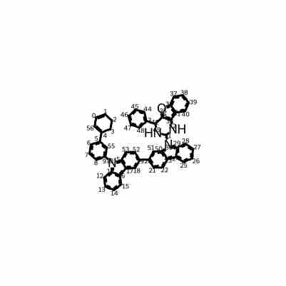 C1=CCCC(c2cccc(-n3c4ccccc4c4cc(-c5ccc6c7ccccc7n(C7Nc8c(oc9ccccc89)C(c8ccccc8)N7)c6c5)ccc43)c2)=C1